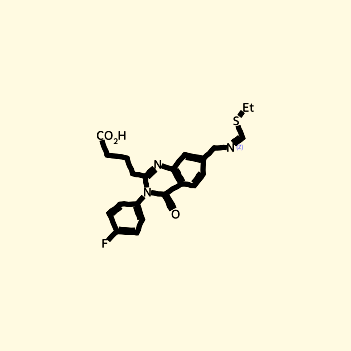 CCS/C=N\Cc1ccc2c(=O)n(-c3ccc(F)cc3)c(CCCC(=O)O)nc2c1